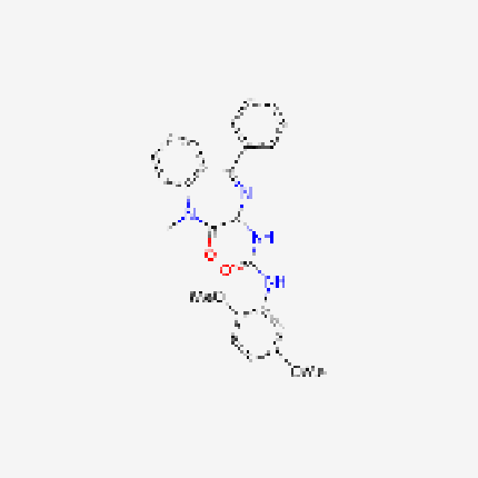 COc1ccc(OC)c(NC(=O)NC2N=C(c3ccccc3)c3ccccc3N(C)C2=O)c1